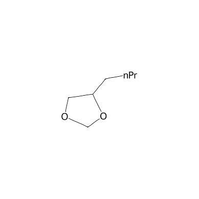 CCCCC1COCO1